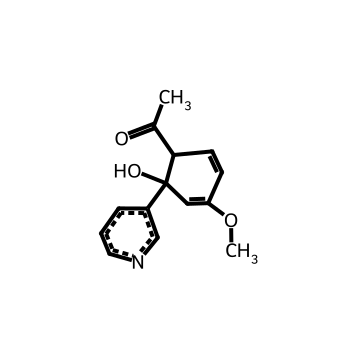 COC1=CC(O)(c2cccnc2)C(C(C)=O)C=C1